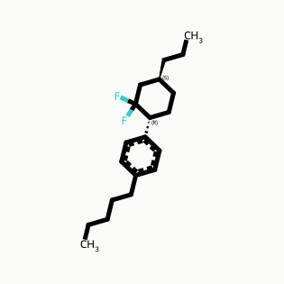 CCCCCc1ccc([C@H]2CC[C@H](CCC)CC2(F)F)cc1